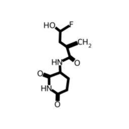 C=C(CC(O)F)C(=O)NC1CCC(=O)NC1=O